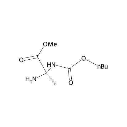 CCCCOC(=O)N[C@@](C)(N)C(=O)OC